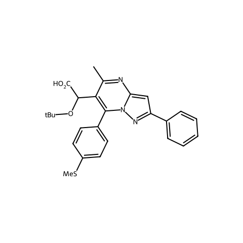 CSc1ccc(-c2c(C(OC(C)(C)C)C(=O)O)c(C)nc3cc(-c4ccccc4)nn23)cc1